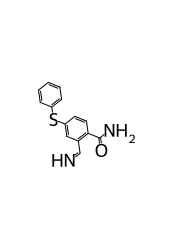 N=Cc1cc(Sc2ccccc2)ccc1C(N)=O